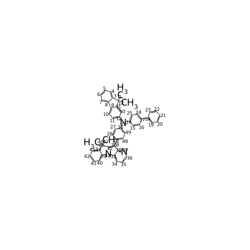 CC1(C)c2ccccc2-c2ccc(N(c3ccc(-c4ccccc4)cc3)c3ccc(-c4c5n(c6cccnc46)-c4ccccc4C5(C)C)cc3)cc21